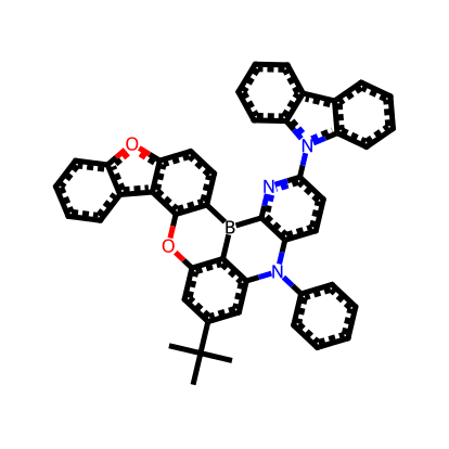 CC(C)(C)c1cc2c3c(c1)N(c1ccccc1)c1ccc(-n4c5ccccc5c5ccccc54)nc1B3c1ccc3oc4ccccc4c3c1O2